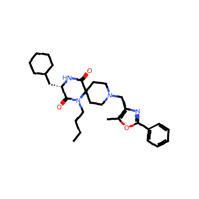 CCCCN1C(=O)[C@H](CC2CCCCC2)NC(=O)C12CCN(Cc1nc(-c3ccccc3)oc1C)CC2